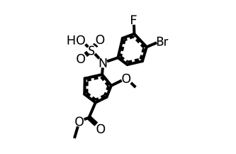 COC(=O)c1ccc(N(c2ccc(Br)c(F)c2)S(=O)(=O)O)c(OC)c1